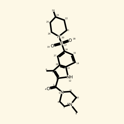 Cc1c(C(=O)N2CCN(C)CC2)[nH]c2ccc(S(=O)(=O)N3CCC(C)CC3)cc12